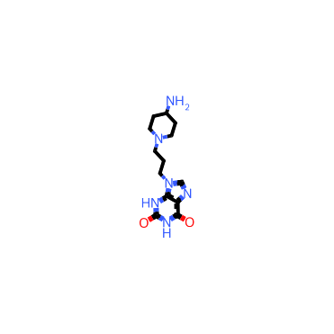 NC1CCN(CCCn2cnc3c(=O)[nH]c(=O)[nH]c32)CC1